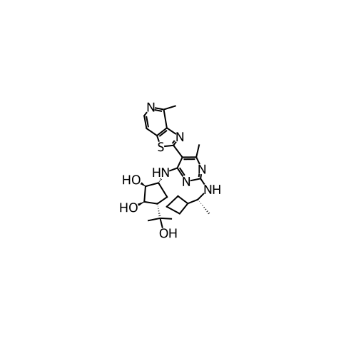 Cc1nc(N[C@H](C)C2CCC2)nc(N[C@@H]2C[C@H](C(C)(C)O)[C@@H](O)[C@H]2O)c1-c1nc2c(C)nccc2s1